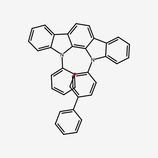 c1ccc(-c2ccc(-n3c4ccccc4c4ccc5c6ccccc6n(-c6ccccc6)c5c43)cc2)cc1